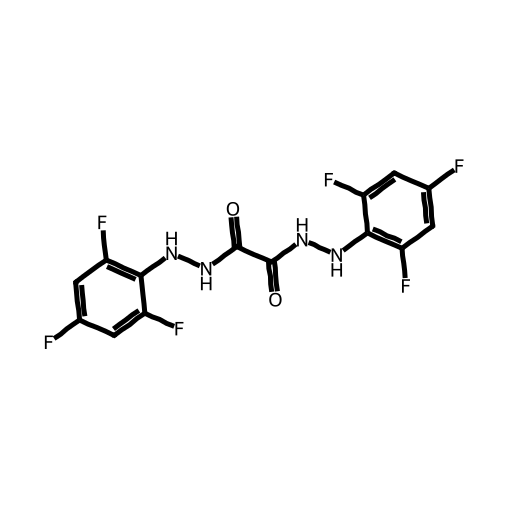 O=C(NNc1c(F)cc(F)cc1F)C(=O)NNc1c(F)cc(F)cc1F